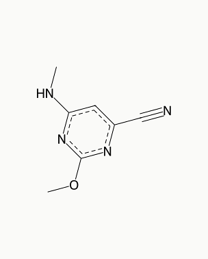 CNc1cc(C#N)nc(OC)n1